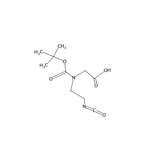 CC(C)(C)OC(=O)N(CCN=C=O)CC(=O)O